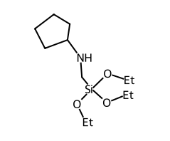 CCO[Si](CNC1CCCC1)(OCC)OCC